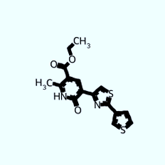 CCOC(=O)c1cc(-c2csc(-c3ccsc3)n2)c(=O)[nH]c1C